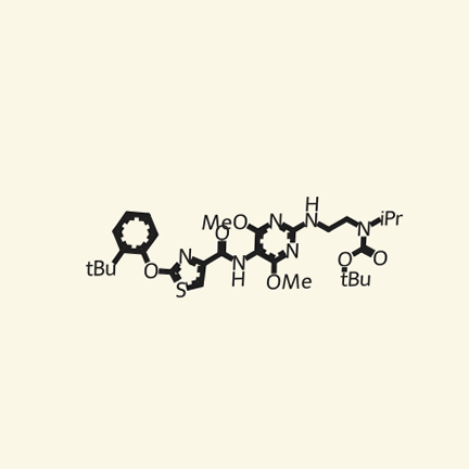 COc1nc(NCCN(C(=O)OC(C)(C)C)C(C)C)nc(OC)c1NC(=O)c1csc(Oc2ccccc2C(C)(C)C)n1